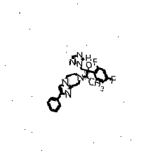 C[C@@H](N1CCn2cc(-c3ccccc3)nc2C1)[C@](O)(Cn1cncn1)c1ccc(F)cc1F